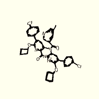 Cc1cncc(C(=O)N(c2cnc(OC3CCC3)c(-c3ccc(Cl)cc3)c2)c2cc(-c3ccc(Cl)cc3)c(OC3CCC3)nc2C(N)=O)c1